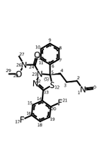 C=NCCC[C@@]1(c2ccccc2)SC(c2cc(F)ccc2F)=NN1C(=O)N(C)OC